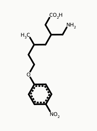 CC(CCOc1ccc([N+](=O)[O-])cc1)CC(CN)CC(=O)O